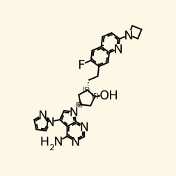 Nc1ncnc2c1c(-n1cccn1)cn2[C@@H]1C[C@H](CCc2cc3nc(N4CCC4)ccc3cc2F)[C@@H](O)C1